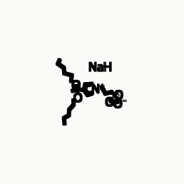 CCCCCCOC(C)(OCCCCCC)c1cc[n+](CCCS(=O)(=O)[O-])cc1.[NaH]